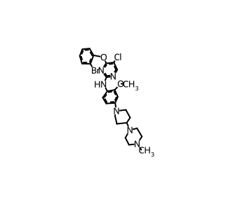 COc1cc(N2CCC(N3CCN(C)CC3)CC2)ccc1Nc1ncc(Cl)c(Oc2ccccc2Br)n1